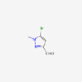 Cn1nc([C]=O)cc1Br